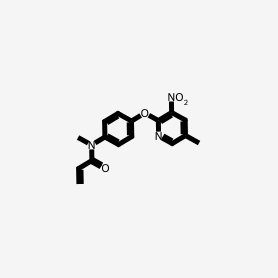 C=CC(=O)N(C)c1ccc(Oc2ncc(C)cc2[N+](=O)[O-])cc1